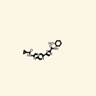 O=C(N[C@H]1CCCC[C@H]1O)c1ncc(-c2cn3cc(NC(=O)C4CC4)nc3cn2)s1